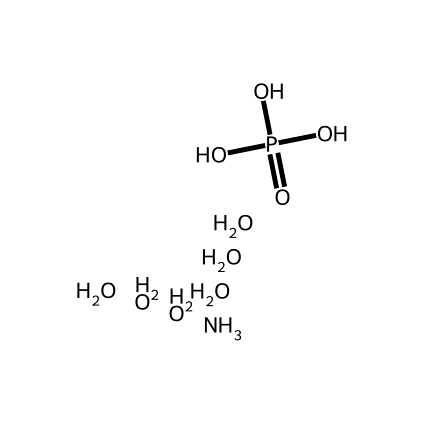 N.O.O.O.O.O.O.O=P(O)(O)O